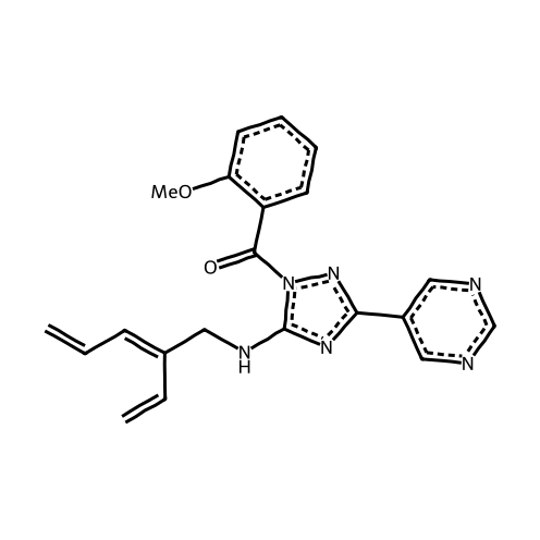 C=C/C=C(\C=C)CNc1nc(-c2cncnc2)nn1C(=O)c1ccccc1OC